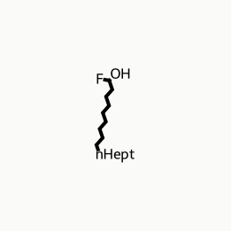 CCCCCCCCCCCCCCCC(O)F